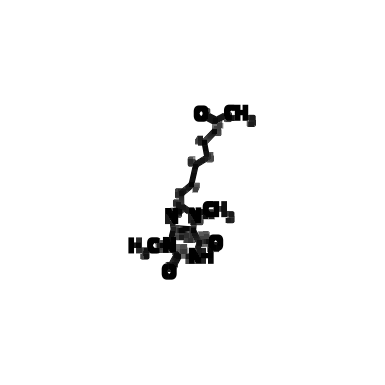 CC(=O)CCCCCCc1nc2c(c(=O)[nH]c(=O)n2C)n1C